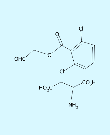 NC(CC(=O)O)C(=O)O.O=CCOC(=O)c1c(Cl)cccc1Cl